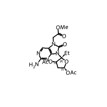 CC[C@@]1(n2c(=O)n(CC(=O)OC)c3cnc(N)nc32)O[C@@H](OC(C)=O)C[C@H]1OC(C)=O